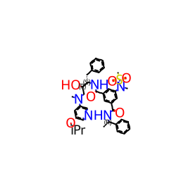 CC(C)Oc1cncc(N(C)C[C@@H](O)[C@H](Cc2ccccc2)NC(=O)c2cc(C(=O)N[C@H](C)c3ccccc3)cc(N(C)S(C)(=O)=O)c2)c1